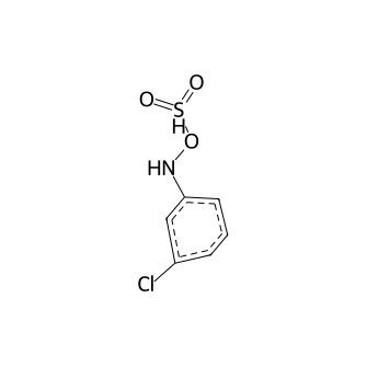 O=[SH](=O)ONc1cccc(Cl)c1